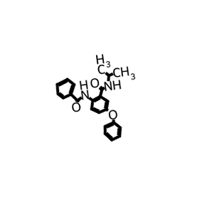 CC(C)NC(=O)c1cc(Oc2ccccc2)ccc1NC(=O)c1ccccc1